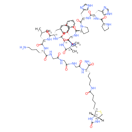 CC(C)C[C@H](NC(=O)[C@H](C)NC(=O)[C@H](Cc1ccccc1)NC(=O)[C@@H]1CCCN1C(=O)[C@H](Cc1c[nH]cn1)NC(=O)[C@H](Cc1c[nH]cn1)NC(=O)[C@@H]1CCCN1)C(=O)N[C@@H](Cc1ccccc1)C(=O)N[C@@H](CC(C)C)C(=O)N[C@@H](CCCCN)C(=O)NCC(=O)NCC(=O)NCC(=O)N[C@@H](CCCCNC(=O)CCCC[C@@H]1SC[C@@H]2NC(=O)N[C@@H]21)C(N)=O